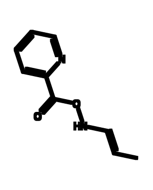 CC=CNOC(=O)c1ccccn1